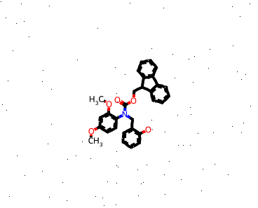 COc1ccc(N(Cc2ccccc2[O])C(=O)OCC2c3ccccc3-c3ccccc32)c(OC)c1